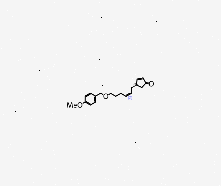 COc1ccc(COCCC/C=C\C[C@H]2C=CC(=O)C2)cc1